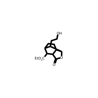 CCOC(=O)C1C2CCC3C(OC(=O)C31)C2CCO